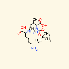 CCC(C)C(NC(=O)OC(C)(C)C)C(=O)O.NCCCCC(N)C(=O)O